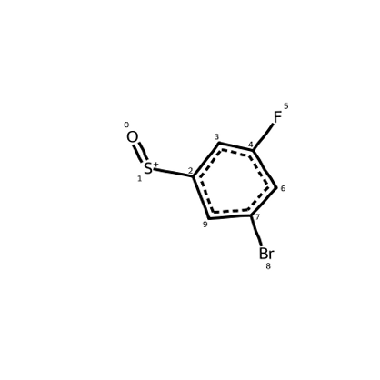 O=[S+]c1cc(F)cc(Br)c1